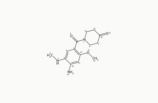 CNc1cc(C(=O)N2CCC(=O)CC2)c(OC)cc1N